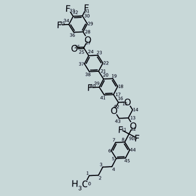 CCCCCc1ccc(C(F)(F)OC2COC(c3ccc(-c4ccc(C(=O)Oc5cc(F)c(F)c(F)c5)cc4)c(F)c3)OC2)cc1